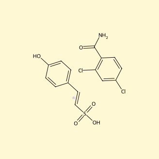 NC(=O)c1ccc(Cl)cc1Cl.O=S(=O)(O)/C=C/c1ccc(O)cc1